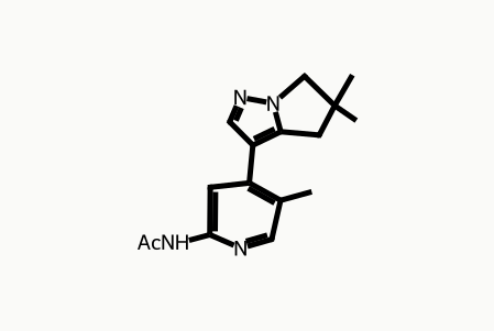 CC(=O)Nc1cc(-c2cnn3c2CC(C)(C)C3)c(C)cn1